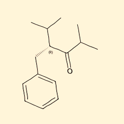 CC(C)C(=O)[C@H](Cc1ccccc1)C(C)C